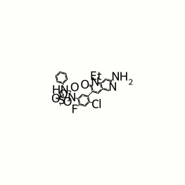 CCn1c(=O)c(-c2cc(N(OS(C)(=O)=O)C(=O)Nc3ccccc3)c(F)cc2Cl)cc2cnc(N)cc21